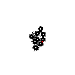 c1ccc(-c2cccc(-n3c4ccccc4c4cc5c(cc43)N(c3cccc4c(N(c6ccccc6)c6ccccc6)cccc34)c3ccccc3S5)c2)cc1